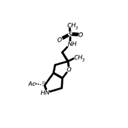 CC(=O)[C@H]1NCC2OC(C)(CNS(C)(=O)=O)CC21